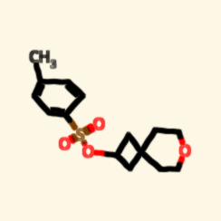 Cc1ccc(S(=O)(=O)OC2CC3(CCOCC3)C2)cc1